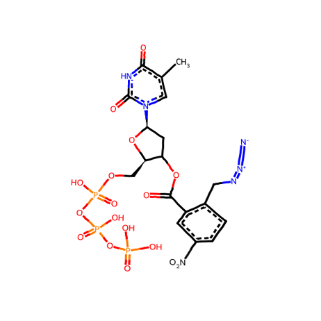 Cc1cn([C@H]2CC(OC(=O)c3cc([N+](=O)[O-])ccc3CN=[N+]=[N-])[C@@H](COP(=O)(O)OP(=O)(O)OP(=O)(O)O)O2)c(=O)[nH]c1=O